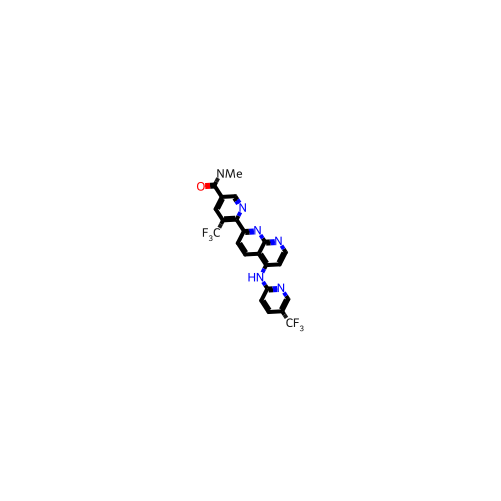 CNC(=O)c1cnc(-c2ccc3c(Nc4ccc(C(F)(F)F)cn4)ccnc3n2)c(C(F)(F)F)c1